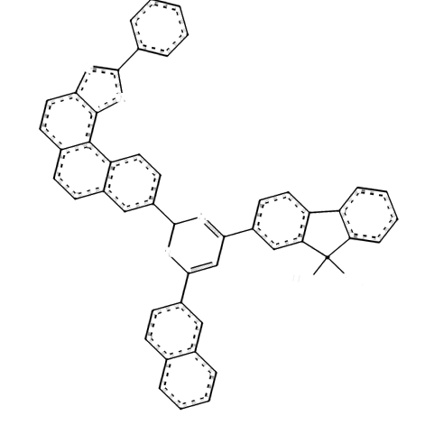 CC1(C)c2ccccc2-c2ccc(C3=NC(c4ccc5c(ccc6ccc7sc(-c8ccccc8)nc7c65)c4)NC(c4ccc5ccccc5c4)=C3)cc21